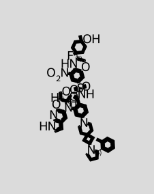 Cc1ccccc1[C@@H]1CCCN1C1CC2(CCN(c3ccc(C(=O)NS(=O)(=O)c4cc5c(c([N+](=O)[O-])c4)N[C@H](C4(F)CCC(C)(O)CC4)CO5)c(N4c5cc6cc[nH]c6nc5O[C@@H]5COC[C@H]54)c3)CC2)C1